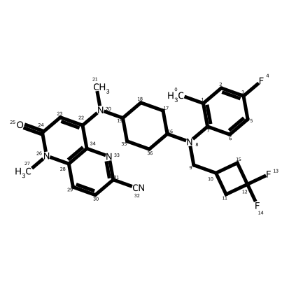 Cc1cc(F)ccc1N(CC1CC(F)(F)C1)C1CCC(N(C)c2cc(=O)n(C)c3ccc(C#N)nc23)CC1